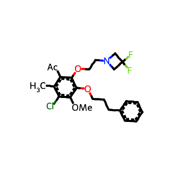 COc1c(Cl)c(C)c(C(C)=O)c(OCCN2CC(F)(F)C2)c1OCCCc1ccccc1